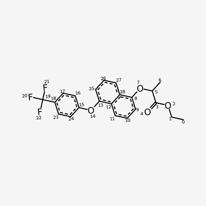 CCOC(=O)C(C)Oc1cccc2c(Oc3ccc(C(F)(F)F)cc3)cccc12